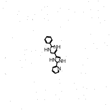 C1=C(C2=CNC(c3ccccn3)N2)CNC(c2ccccc2)N1